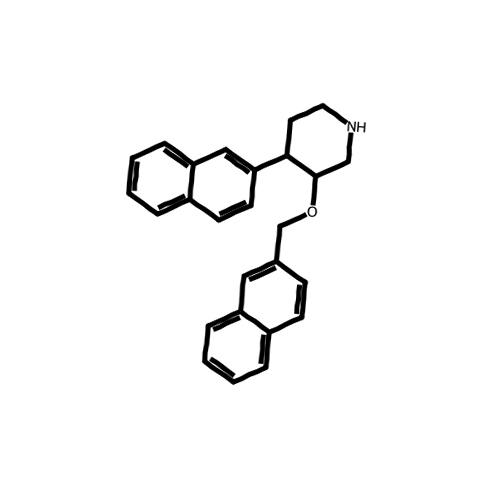 c1ccc2cc(COC3CNCCC3c3ccc4ccccc4c3)ccc2c1